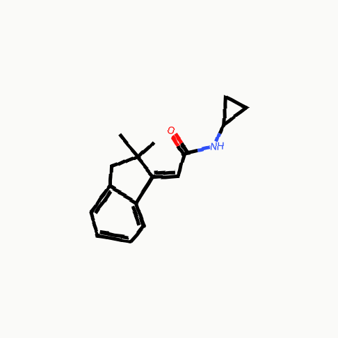 CC1(C)Cc2ccccc2/C1=C/C(=O)NC1CC1